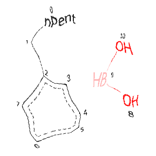 CCCCCCc1ccccc1.OBO